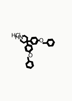 Cl.c1ccc(COc2ccc(C3(c4ccc(OCc5ccccc5)cc4)CCNCC3)cc2)cc1